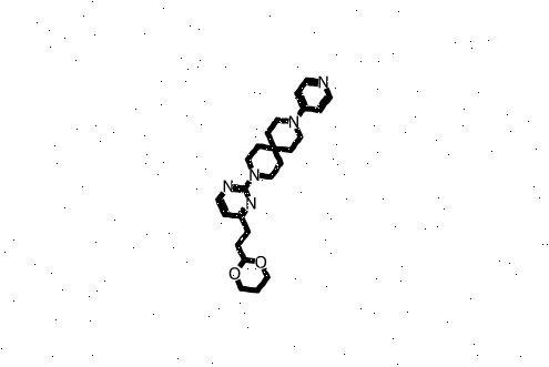 c1cc(N2CCC3(CC2)CCN(c2nccc(CCC4OCCCO4)n2)CC3)ccn1